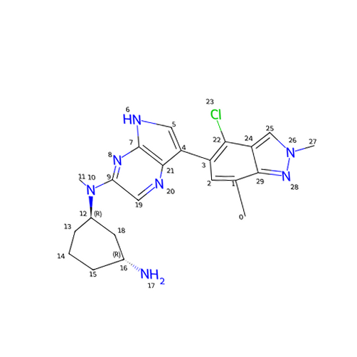 Cc1cc(-c2c[nH]c3nc(N(C)[C@@H]4CCC[C@@H](N)C4)cnc23)c(Cl)c2cn(C)nc12